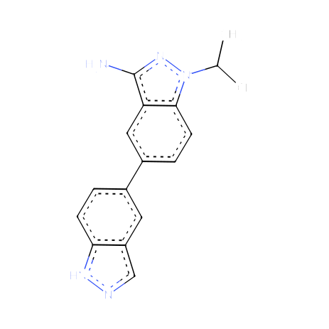 CC(C)n1nc(N)c2cc(-c3ccc4[nH]ncc4c3)ccc21